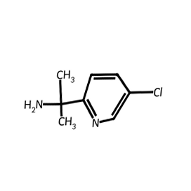 CC(C)(N)c1ccc(Cl)cn1